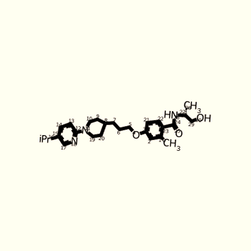 Cc1cc(OCCCC2CCN(c3ccc(C(C)C)cn3)CC2)ccc1C(=O)N[C@H](C)CO